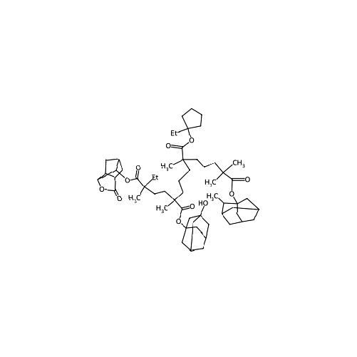 CCC1(OC(=O)C(C)(CCCC(C)(C)C(=O)OC23CC4CC(CC(C4)C2C)C3)CCCC(C)(CCC(C)(CC)C(=O)OC2C3CC4C(=O)OC2C4C3)C(=O)OC23CC4CC(CC(O)(C4)C2)C3)CCCC1